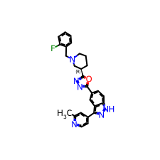 Cc1cc(-c2n[nH]c3ccc(-c4nnc([C@@H]5CCCN(Cc6ccccc6F)C5)o4)cc23)ccn1